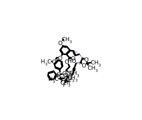 COCOc1cc(OC)cc(/C=C/C[C@@H]2OC(C)(C)O[C@@H]2C(O)C#CC[C@@H](O[Si](c2ccccc2)(c2ccccc2)C(C)(C)C)C(F)(F)F)c1C(=O)OCC[Si](C)(C)C